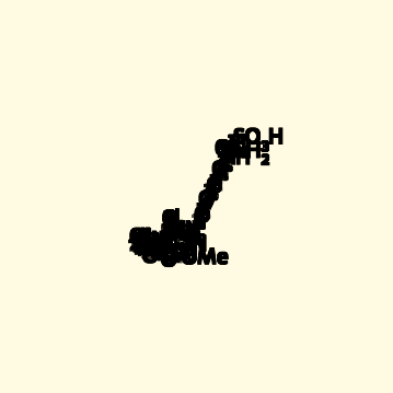 COc1cc2c(cc1-c1cncc(NCCOCCOCCOCCOCCNC(=O)[C@@H](N)CS(=O)(=O)O)c1)-c1c(c(C(=O)N3CCOCC3(C)C)nn1-c1cc(Cl)cc(Cl)c1)CO2